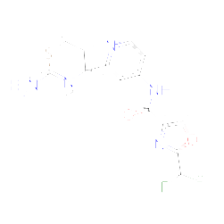 C[C@@]1(c2cc(NC(=O)c3coc(C(F)F)n3)ccn2)CCSC(N)=N1